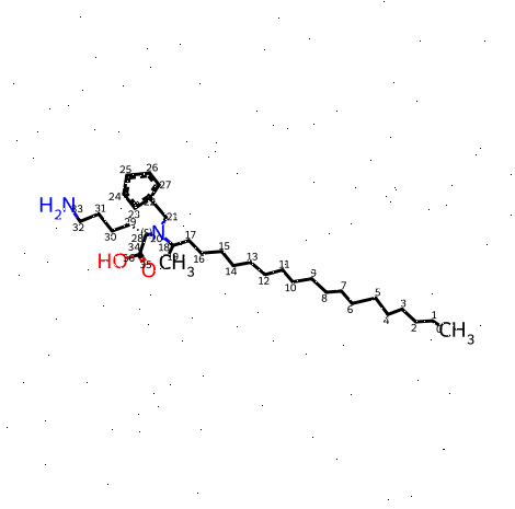 CCCCCCCCCCCCCCCCCCC(C)N(Cc1ccccc1)[C@@H](CCCCN)C(=O)O